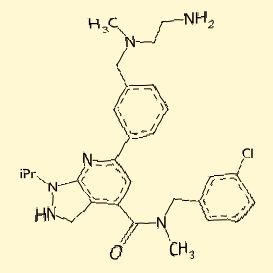 CC(C)N1NCc2c(C(=O)N(C)Cc3cccc(Cl)c3)cc(-c3cccc(CN(C)CCN)c3)nc21